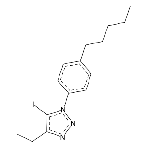 CCCCCc1ccc(-n2nnc(CC)c2I)cc1